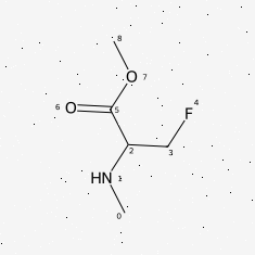 CNC(CF)C(=O)OC